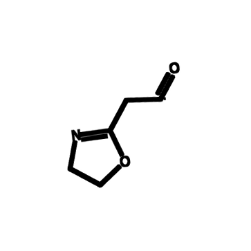 O=[C]CC1=NCCO1